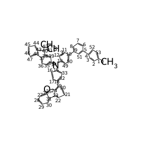 Cc1ccc(-c2cccc(-c3ccc(N(c4ccc(-c5cccc6c5oc5ccccc56)cc4)c4ccc5c(c4)C(C)(C)c4ccccc4-5)cc3)c2)cc1